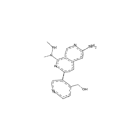 CPN(C)c1nc(-c2cnccc2CO)cc2cc(N)ncc12